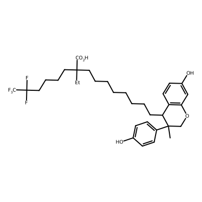 CCC(CCCCCCCCC1c2ccc(O)cc2OCC1(C)c1ccc(O)cc1)(CCCCC(F)(F)C(F)(F)F)C(=O)O